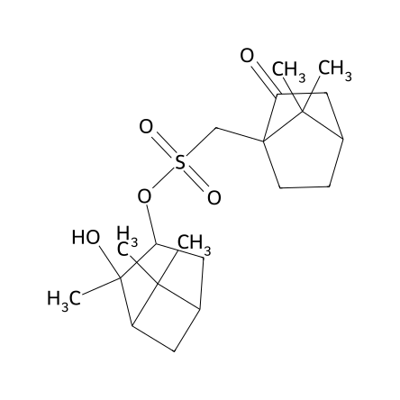 CC1(C)C2CC(OS(=O)(=O)CC34CCC(CC3=O)C4(C)C)C(C)(O)C1C2